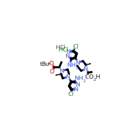 CC(C(=O)O)N1CCN(c2cc(Cl)nnc2N)C[C@H]1C.CC(C(=O)OC(C)(C)C)N1CCN(c2cc(Cl)nnc2N)C[C@H]1C.Cl.Cl